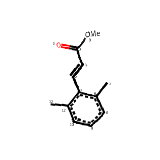 COC(=O)/C=C/c1c(C)cccc1C